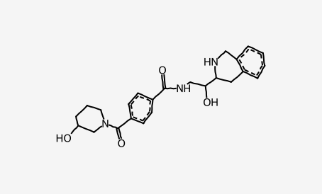 O=C(NCC(O)C1Cc2ccccc2CN1)c1ccc(C(=O)N2CCCC(O)C2)cc1